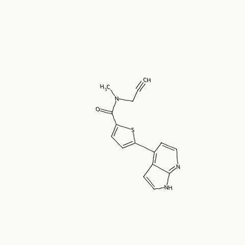 C#CCN(C)C(=O)c1ccc(-c2ccnc3[nH]ccc23)s1